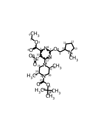 CCOC(=O)c1nc(OCC2CCCN2C)nc(N2C[C@H](C)N(C(=O)OC(C)(C)C)C[C@@H]2C)c1[N+](=O)[O-]